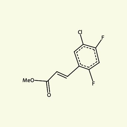 COC(=O)C=Cc1cc(Cl)c(F)cc1F